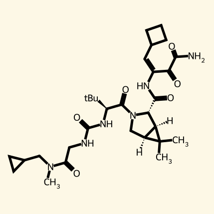 CN(CC1CC1)C(=O)CNC(=O)N[C@H](C(=O)N1C[C@H]2[C@@H]([C@H]1C(=O)N/C(=C/C1CCC1)C(=O)C(N)=O)C2(C)C)C(C)(C)C